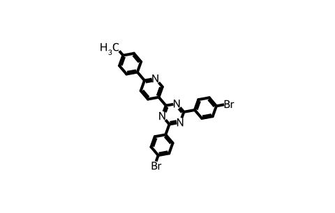 Cc1ccc(-c2ccc(-c3nc(-c4ccc(Br)cc4)nc(-c4ccc(Br)cc4)n3)cn2)cc1